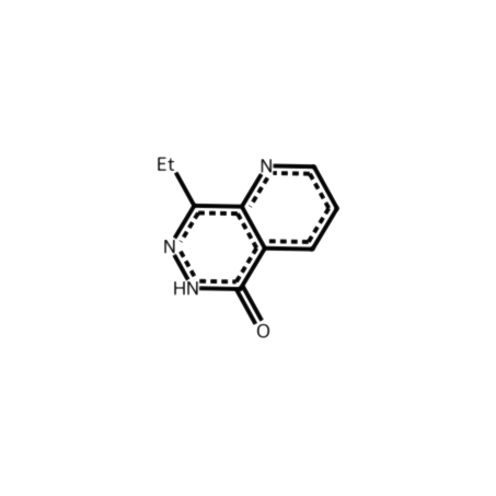 CCc1n[nH]c(=O)c2cccnc12